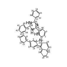 C1=CC(n2c3cc(-c4ccccc4)ccc3c3c4ccccc4ccc32)NC(C2=NC(c3ccccc3)NC(c3ccccc3)N2)=C1